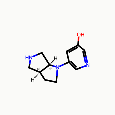 Oc1cncc(N2CC[C@H]3CNC[C@H]32)c1